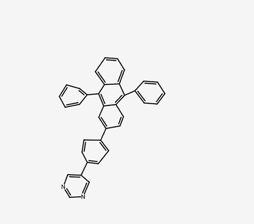 c1ccc(-c2c3ccccc3c(-c3ccccc3)c3cc(-c4ccc(-c5cncnc5)cc4)ccc23)cc1